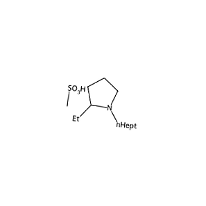 CCCCCCCN1CCCC1CC.CS(=O)(=O)O